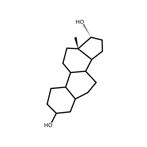 C[C@]12CCC3C4CCC(O)CC4CCC3C1CC[C@H]2O